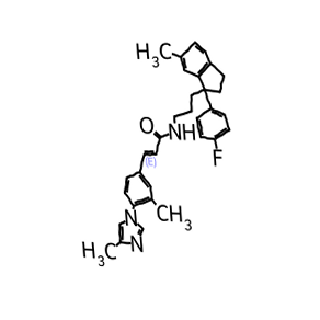 Cc1ccc2c(c1)C(CCCNC(=O)/C=C/c1ccc(-n3cnc(C)c3)c(C)c1)(c1ccc(F)cc1)CC2